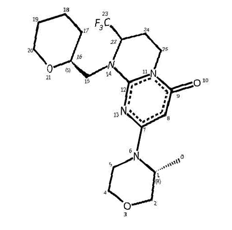 C[C@@H]1COCCN1c1cc(=O)n2c(n1)N(C[C@@H]1CCCCO1)C(C(F)(F)F)CC2